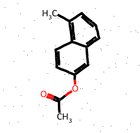 CC(=O)Oc1ccc2c(C)cccc2c1